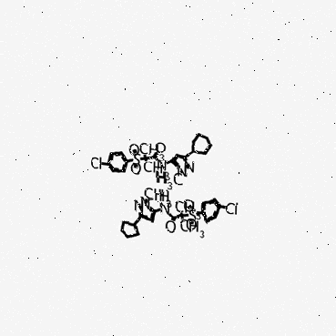 Cn1nc(C2CCCC2)cc1NC(=O)C(C)(C)S(=O)(=O)c1ccc(Cl)cc1.Cn1nc(C2CCCCC2)cc1NC(=O)C(C)(C)S(=O)(=O)c1ccc(Cl)cc1